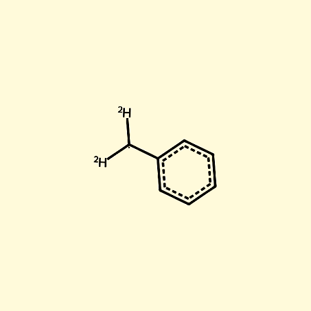 [2H][C]([2H])c1ccccc1